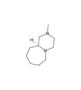 CN1CCN2CCCCC[C@H]2C1